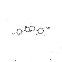 OCc1ccc(F)c(-c2ccc3nc(-c4ccc(Cl)cc4)cn3c2)c1